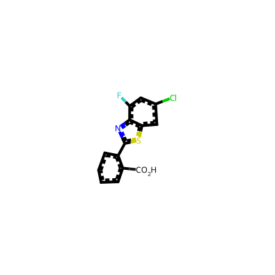 O=C(O)c1ccccc1-c1nc2c(F)cc(Cl)cc2s1